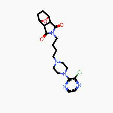 O=C1C2C3CCC(O3)C2C(=O)N1CCCCN1CCN(c2nccnc2Cl)CC1